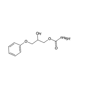 CCCCCCCC(=O)OCC(O)COc1ccccc1